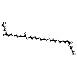 O=C(CCSCSCCC(=O)OCSCO)OCCSCSCCOOCCCSCSCCC(=O)OCSCO